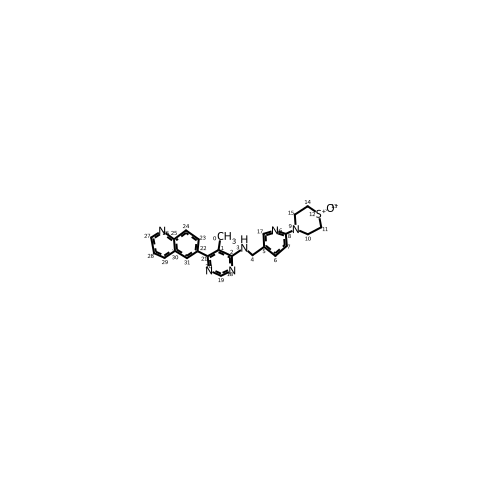 Cc1c(NCc2ccc(N3CC[S+]([O-])CC3)nc2)ncnc1-c1ccc2ncccc2c1